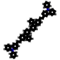 C(=C\c1ccc2c(c1)c1ccccc1n2-c1ccccc1)/c1ccc2c(c1)C1(CCCC1)c1cc(-c3ccc4c(c3)C3(CCCC3)c3cc(/C=C/c5ccc6c(c5)c5ccccc5n6-c5ccccc5)ccc3-4)ccc1-2